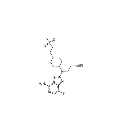 CS(=O)(=O)CCC1CCC(N(CCC#N)c2nc3c(F)cnc(N)c3s2)CC1